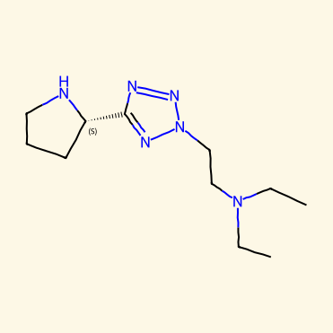 CCN(CC)CCn1nnc([C@@H]2CCCN2)n1